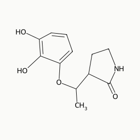 CC(Oc1cccc(O)c1O)C1CCNC1=O